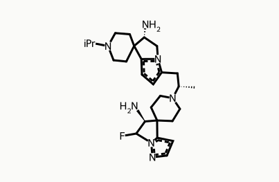 CC(C)N1CCC2(CC1)c1ccc(C[C@H](C)N3CCC4(CC3)c3ccnn3C(F)[C@H]4N)n1C[C@H]2N